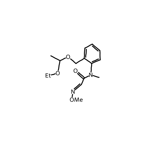 CCOC(C)OCc1ccccc1N(C)C(=O)C=NOC